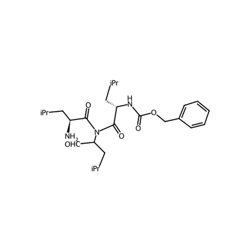 CC(C)CC(C=O)N(C(=O)[C@H](CC(C)C)NC(=O)OCc1ccccc1)C(=O)[C@@H](N)CC(C)C